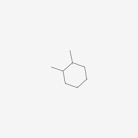 C[C]1CCCCC1C